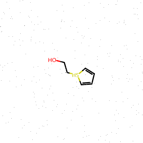 OC[CH][SH]1C=CC=C1